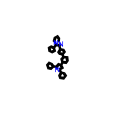 c1ccc(-c2cc(-c3cccc(-c4ccc(-c5nc6ccccn6c5-c5ccccc5)cc4)c3)cc(-c3ccccc3)n2)cc1